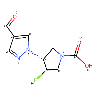 O=Cc1cnn([C@@H]2CN(C(=O)O)C[C@H]2F)c1